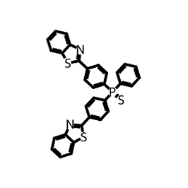 S=P(c1ccccc1)(c1ccc(-c2nc3ccccc3s2)cc1)c1ccc(-c2nc3ccccc3s2)cc1